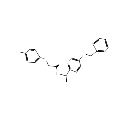 CC(NC(=O)COc1ccc(C(F)(F)F)cc1)c1ccc(OCc2ccccc2)cn1